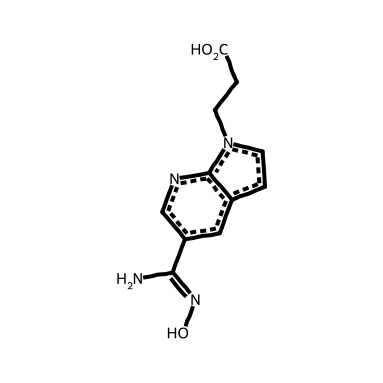 NC(=NO)c1cnc2c(ccn2CCC(=O)O)c1